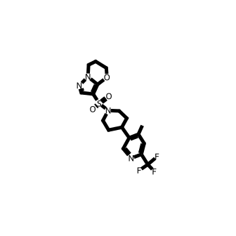 Cc1cc(C(F)(F)F)ncc1C1CCN(S(=O)(=O)c2cnn3c2OCCC3)CC1